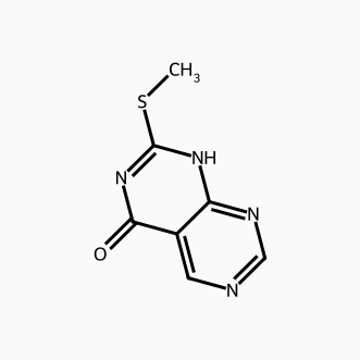 CSc1nc(=O)c2cncnc2[nH]1